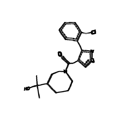 CC(C)(O)C1CCCN(C(=O)c2conc2-c2ccccc2Cl)C1